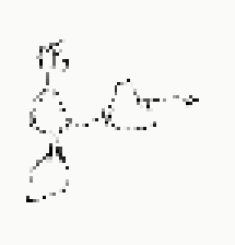 C[C](C)CN1CCN(Cc2cc(C(F)(F)F)ccc2N2CCCC2)CC1